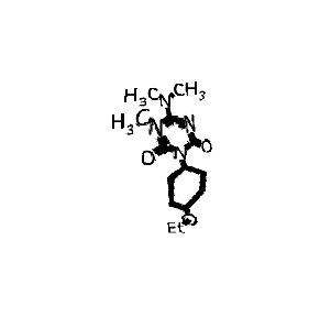 CCOC1CCC(n2c(=O)nc(N(C)C)n(C)c2=O)CC1